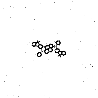 CC1(C)c2ccccc2-c2cc(N(c3ccccc3)c3ccc4ccc5c(N(c6ccccc6)c6ccc7c(c6)-c6ccccc6C7(C)C)ccc6ccc3c4c65)ccc21